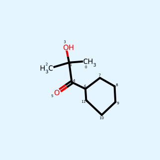 CC(C)(O)C(=O)C1CCCCC1